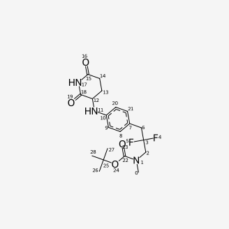 CN(CC(F)(F)Cc1ccc(NC2CCC(=O)NC2=O)cc1)C(=O)OC(C)(C)C